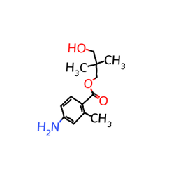 Cc1cc(N)ccc1C(=O)OCC(C)(C)CO